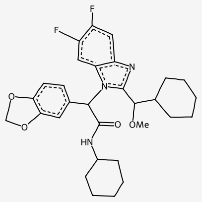 COC(c1nc2cc(F)c(F)cc2n1C(C(=O)NC1CCCCC1)c1ccc2c(c1)OCO2)C1CCCCC1